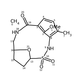 C.COc1c2ccc(C)c1NS(=O)(=O)C1CCC(CNC2=O)O1